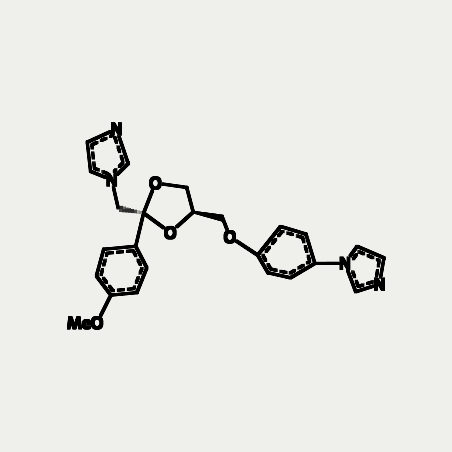 COc1ccc([C@@]2(Cn3ccnc3)OC[C@@H](COc3ccc(-n4ccnc4)cc3)O2)cc1